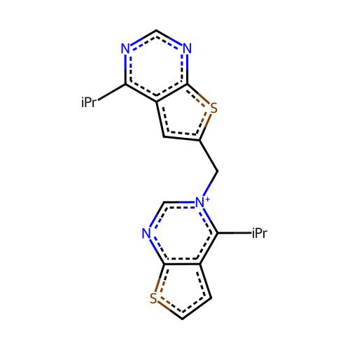 CC(C)c1ncnc2sc(C[n+]3cnc4sccc4c3C(C)C)cc12